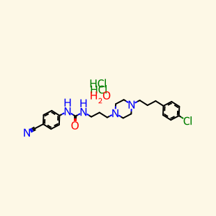 Cl.Cl.N#Cc1ccc(NC(=O)NCCCN2CCN(CCCc3ccc(Cl)cc3)CC2)cc1.O